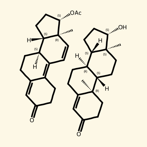 CC(=O)O[C@H]1CC[C@H]2[C@@H]3CCC4=CC(=O)CCC4=C3C=C[C@]12C.C[C@]12CC[C@H]3[C@@H](CCC4=CC(=O)CC[C@@]43C)[C@@H]1CC[C@@H]2O